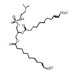 CCCCCCCCC=CCCCCCCCC(=O)OCC(COS(=O)(=O)NCCN(C)C)OC(=O)CCCCCCCC=CCCCCCCCC